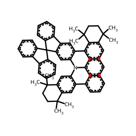 CC1(C)CCC(C)(C)c2cc(N(c3ccccc3)c3cc4c(cc3-c3cccc5c3C(C)(C)CCC5(C)C)-c3ccccc3C43c4ccccc4-c4ccccc43)c(-c3ccccc3)cc21